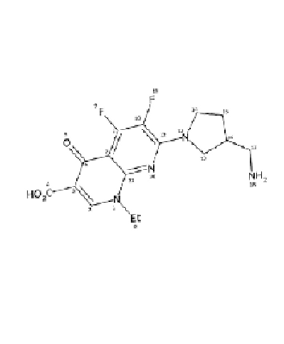 CCn1cc(C(=O)O)c(=O)c2c(F)c(F)c(N3CCC(CN)C3)nc21